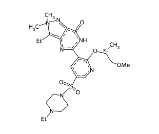 CCC1=c2nc(-c3cc(S(=O)(=O)N4CCN(CC)CC4)cnc3O[C@H](C)COC)[nH]c(=O)c2=N[N+]1(C)C